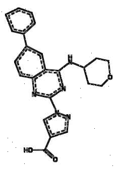 O=C(O)c1cnn(-c2nc(NC3CCOCC3)c3cc(-c4ccccc4)ccc3n2)c1